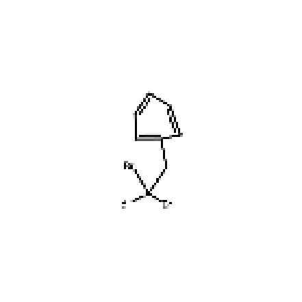 BrC(Br)(Br)Cc1ccccc1